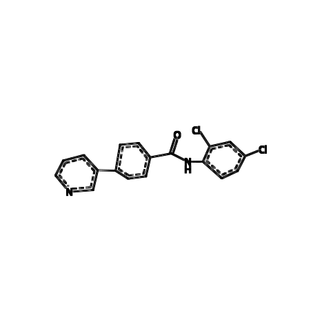 O=C(Nc1ccc(Cl)cc1Cl)c1ccc(-c2cccnc2)cc1